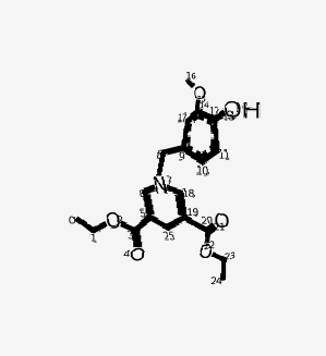 CCOC(=O)C1=CN(Cc2ccc(O)c(OC)c2)C=C(C(=O)OCC)C1